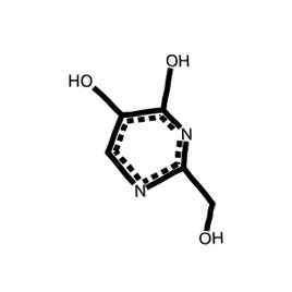 OCc1ncc(O)c(O)n1